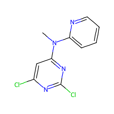 CN(c1ccccn1)c1cc(Cl)nc(Cl)n1